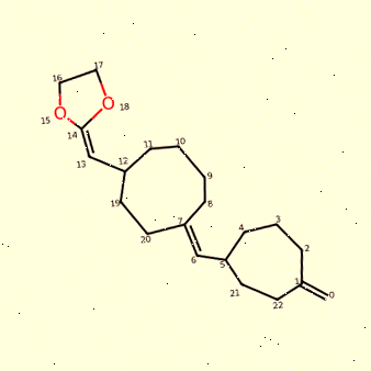 C=C1CCCC(/C=C2\CCCCC(C=C3OCCO3)CC2)CC1